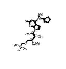 CCN(c1nc(Cl)nc2c1ccn2[C@H](O)[C@H](O)[C@@H](COCP(=O)(O)O)OC)C1CCCC1